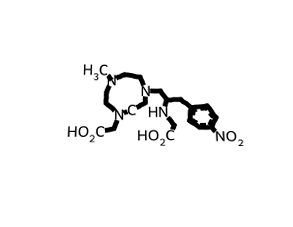 CN1CCN(CC(=O)O)CCN(CC(Cc2ccc([N+](=O)[O-])cc2)NCC(=O)O)CC1